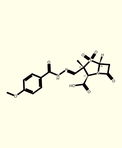 COc1ccc(C(=O)N/N=C/[C@@]2(C)[C@H](C(=O)O)N3C(=O)C[C@H]3S2(=O)=O)cc1